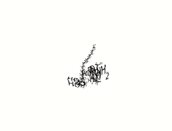 CC(C)[C@H](N)C(=O)N(C(=O)[C@@H](N)C(C)C)[C@H](C(=O)O)C(C)C.CCCCCCCCCCCCCCCCCc1cccc(O)c1O